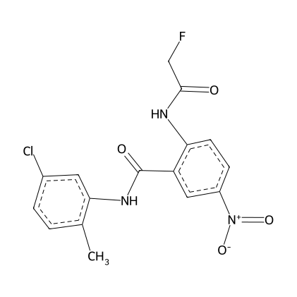 Cc1ccc(Cl)cc1NC(=O)c1cc([N+](=O)[O-])ccc1NC(=O)CF